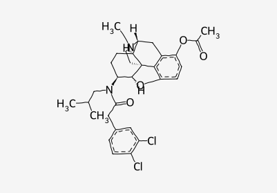 CC(=O)Oc1ccc2c3c1C[C@@H]1[C@@H]4CC[C@H](N(CC(C)C)C(=O)Cc5ccc(Cl)c(Cl)c5)[C@H](O2)[C@]34CCN1C